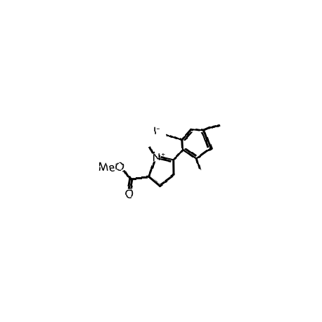 COC(=O)C1CCC(c2c(C)cc(C)cc2C)=[N+]1C.[I-]